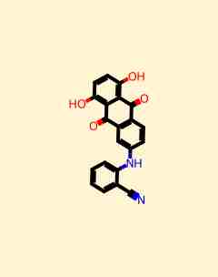 N#Cc1ccccc1Nc1ccc2c(c1)C(=O)c1c(O)ccc(O)c1C2=O